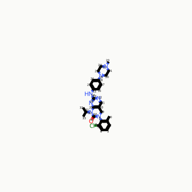 Cc1cccc(Cl)c1N1Cc2cnc(Nc3ccc(N4CCN(C)CC4)cc3)nc2N(C(C)C)C1=O